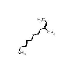 CC=C(C)CC[CH]CC=CCC